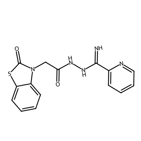 N=C(NNC(=O)Cn1c(=O)sc2ccccc21)c1ccccn1